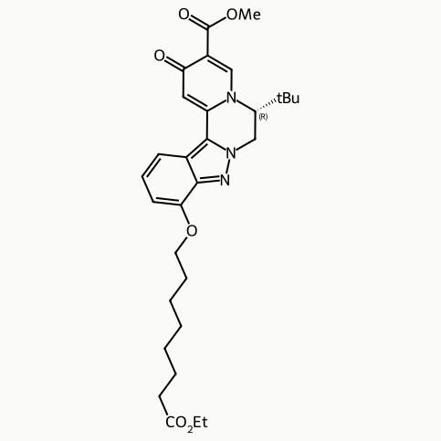 CCOC(=O)CCCCCCCOc1cccc2c3n(nc12)C[C@@H](C(C)(C)C)n1cc(C(=O)OC)c(=O)cc1-3